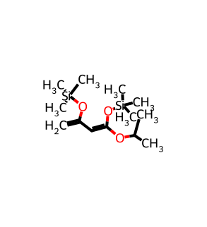 C=C(C=C(OC(C)C)O[Si](C)(C)C)O[Si](C)(C)C